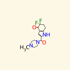 CN1CCN(C(=O)c2cc3c([nH]2)CCC(F)(F)C3=O)CC1